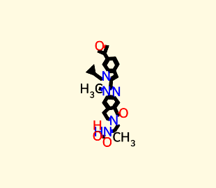 CC(CN1CCc2cc3c(cc2C1=O)nc(-c1cc2ccc(C4COC4)cc2n1CC1CC1)n3C)NC(=O)O